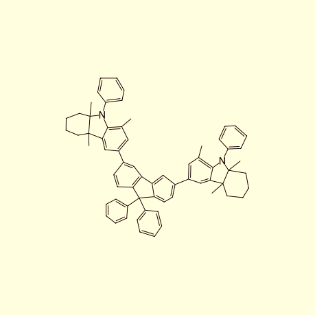 Cc1cc(-c2ccc3c(c2)-c2cc(-c4cc(C)c5c(c4)C4(C)CCCCC4(C)N5c4ccccc4)ccc2C3(c2ccccc2)c2ccccc2)cc2c1N(c1ccccc1)C1(C)CCCCC21C